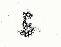 COc1ccc2ncc(CO)c(C(O)CCC3(CC(=O)O)CCN(CCSc4cc(F)cc(F)c4F)CC3)c2c1